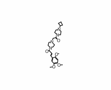 COc1cc(OC)c(OC)cc1C=CC(=O)N1CCN(CC(=O)N2CCN(C3CCC3)CC2)CC1